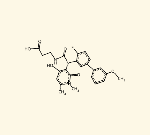 COc1cccc(-c2ccc(F)c(N(C(=O)NCCC(=O)O)c3c(O)cc(C)n(C)c3=O)c2)c1